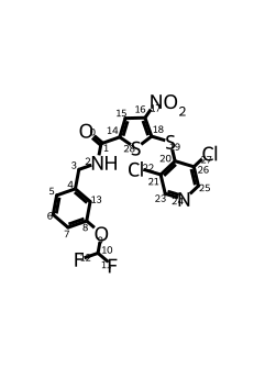 O=C(NCc1cccc(OC(F)F)c1)c1cc([N+](=O)[O-])c(Sc2c(Cl)cncc2Cl)s1